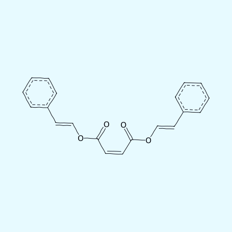 O=C(/C=C\C(=O)O/C=C/c1ccccc1)O/C=C/c1ccccc1